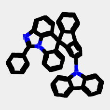 c1ccc(-c2nc3cccc4c3n2-c2ccccc2C42c3ccccc3-c3ccc(-n4c5ccccc5c5ccccc54)cc32)cc1